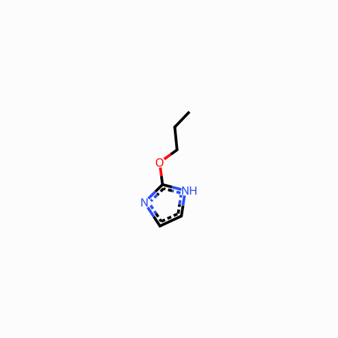 CCCOc1ncc[nH]1